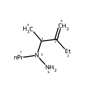 C=C(CC)C(C)N(N)CCC